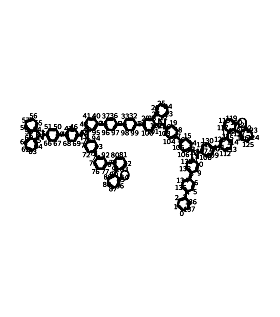 c1ccc(-c2ccc(-c3ccc(N(c4ccc(-c5ccc(-n6c7ccccc7c7cc(-c8ccc(-c9ccc(-c%10cccc(N(c%11ccc(-c%12ccc(-n%13c%14ccccc%14c%14ccccc%14%13)cc%12)cc%11)c%11ccc(-c%12cccc(-c%13cccc%14oc%15ccccc%15c%13%14)c%12)cc%11)c%10)cc9)cc8)ccc76)cc5)cc4)c4ccc(-c5cccc(-c6cccc7oc8ccccc8c67)c5)cc4)cc3)cc2)cc1